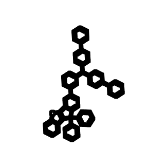 c1ccc(-c2ccc(C(c3ccc(-c4ccccc4)cc3)c3cccc(-c4ccc5c(c4)-c4oc6ccccc6c4C5(c4ccccc4)c4ccccc4)c3)cc2)cc1